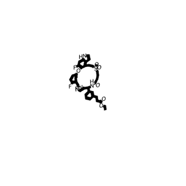 CCOC(=O)CCc1cccc(C2NC(=O)CCCS(=O)(=O)CCc3c(c(F)cc4[nH]ccc34)Oc3ccc(F)c(c3)-c3ncc2[nH]3)c1